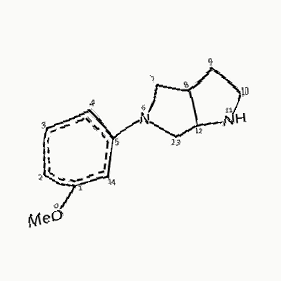 COc1cccc(N2CC3CCNC3C2)c1